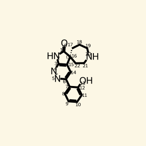 O=C1Nc2nnc(-c3ccccc3O)cc2[C@@]12CCCNCC2